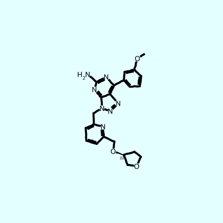 COc1cccc(-c2nc(N)nc3c2nnn3Cc2cccc(CO[C@H]3CCOC3)n2)c1